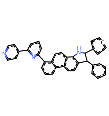 c1ccc(C2Nc3c(ccc4c3ccc3c(-c5cccc(-c6ccncc6)n5)cccc34)C2c2ccccc2)cc1